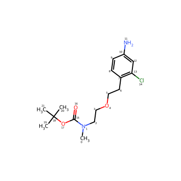 CN(CCOCCc1ccc(N)cc1Cl)C(=O)OC(C)(C)C